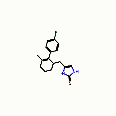 CC1=C(c2ccc(F)cc2)C(CC2=CNC(=S)[N]2)CCC1